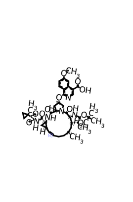 CC[C@@H]1C[C@H](C)CC/C=C\[C@@H]2C[C@@]2(C(=O)NS(=O)(=O)C2(C)CC2)NC(=O)[C@@H]2C[C@@H](Oc3ncc(C(=O)O)c4cc(OC)ccc34)CN2C(=O)[C@H]1NC(=O)OC(C)(C)C